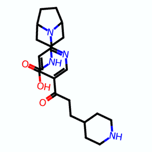 O=C(O)NC1CC2CCC(C1)N2c1ccc(C(=O)CCC2CCNCC2)cn1